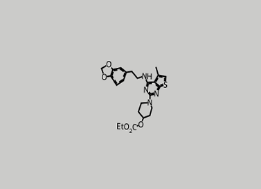 CCOC(=O)OC1CCN(c2nc(NCCc3ccc4c(c3)OCO4)c3c(C)csc3n2)CC1